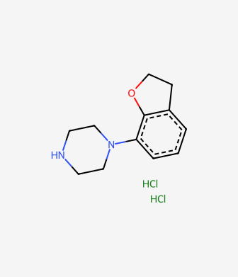 Cl.Cl.c1cc2c(c(N3CCNCC3)c1)OCC2